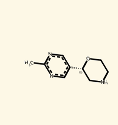 Cc1ncc([C@H]2CNCCO2)cn1